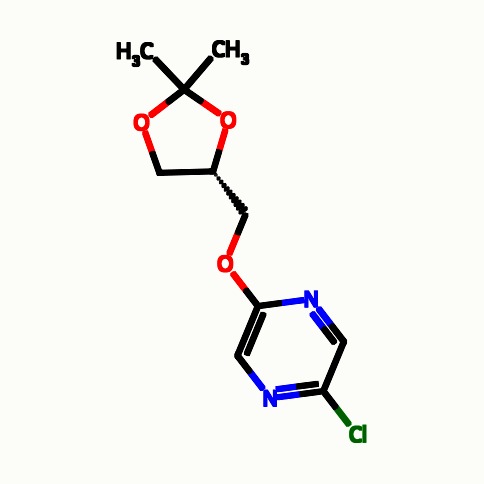 CC1(C)OC[C@@H](COc2cnc(Cl)cn2)O1